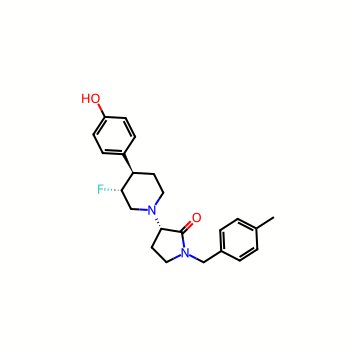 Cc1ccc(CN2CC[C@H](N3CC[C@H](c4ccc(O)cc4)[C@@H](F)C3)C2=O)cc1